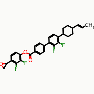 C/C=C/C1CCC(c2ccc(-c3ccc(C(=O)Oc4ccc(C5CO5)c(F)c4F)cc3)c(F)c2F)CC1